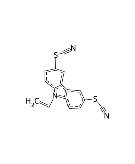 C=Cn1c2ccc(SC#N)cc2c2cc(SC#N)ccc21